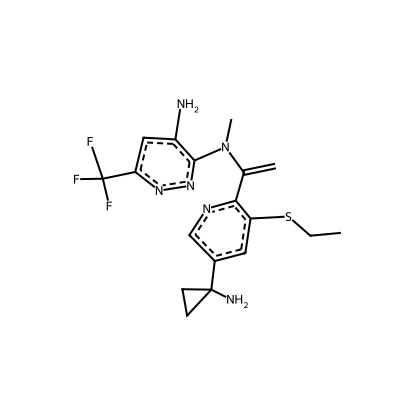 C=C(c1ncc(C2(N)CC2)cc1SCC)N(C)c1nnc(C(F)(F)F)cc1N